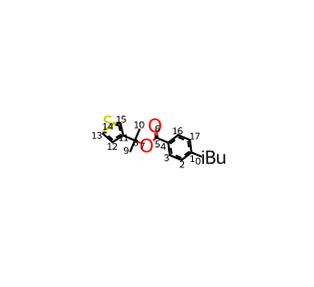 CCC(C)c1ccc(C(=O)OC(C)(C)c2ccsc2)cc1